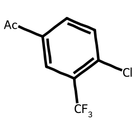 CC(=O)c1ccc(Cl)c(C(F)(F)F)c1